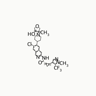 Cn1ncc([C@H]2C[C@@H]2C(=O)Nc2cc3cc(C4CCN([C@]5(C)COC[C@@H]5O)CC4)c(Cl)cc3cn2)c1C(F)(F)F